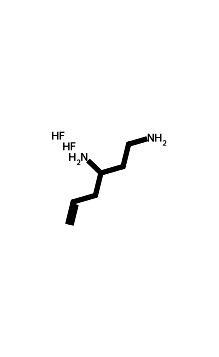 C=CCC(N)CCN.F.F